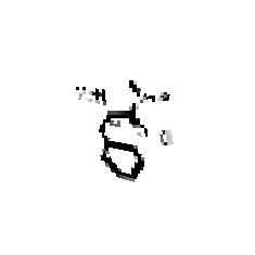 CCCCN(C)C(=O)[C@H](Cc1ccccc1)NC.Cl